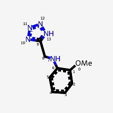 COc1ccccc1NCc1nnn[nH]1